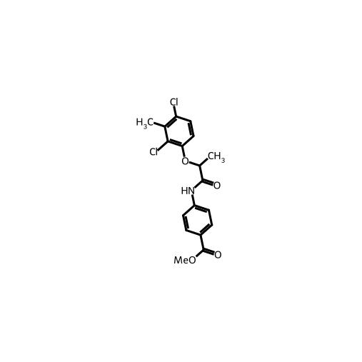 COC(=O)c1ccc(NC(=O)C(C)Oc2ccc(Cl)c(C)c2Cl)cc1